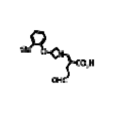 CC(C)(C)c1ccccc1OC1CN(C=C(CCC=O)C(=O)O)C1